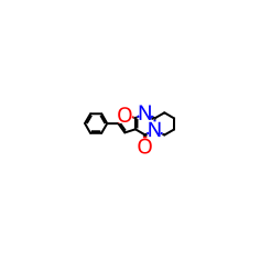 O=c1c2cc(-c3ccccc3)oc2nc2n1CCCC2